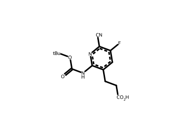 CC(C)(C)OC(=O)Nc1nc(C#N)c(F)cc1CCC(=O)O